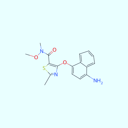 CON(C)C(=O)c1sc(C)nc1Oc1ccc(N)c2ccccc12